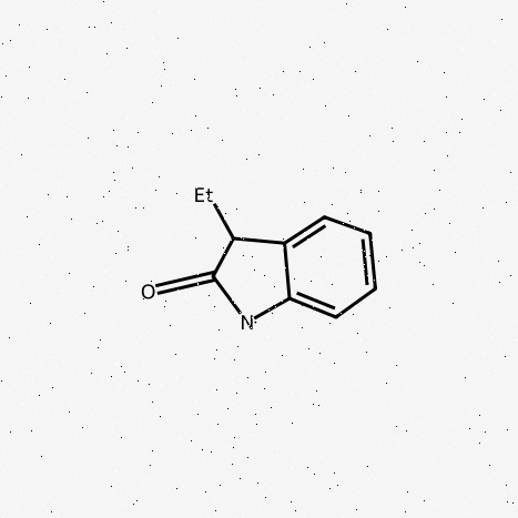 CCC1C(=O)[N]c2ccccc21